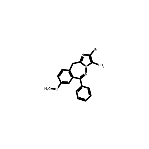 COc1ccc2c(c1)C(c1ccccc1)=Nn1c(nc(Br)c1C)C2